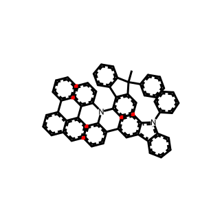 CC1(c2ccccc2)c2ccccc2-c2c(N(c3ccccc3-c3ccc4c(c3)c3ccccc3n4-c3ccccc3)c3ccccc3-c3cccc4cccc(-c5ccccc5)c34)cccc21